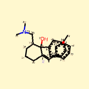 Cc1cccc(C2(O)/C(=C\c3ccccc3)CCCC2CN(C)C)c1